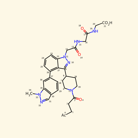 CC(=O)CCC(=O)N1CCC(c2nn(CC(=O)NCC(=O)NCC(=O)O)c3cccc(-c4ccc5cnn(C)c5c4)c23)CC1